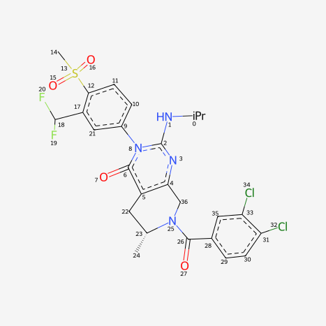 CC(C)Nc1nc2c(c(=O)n1-c1ccc(S(C)(=O)=O)c(C(F)F)c1)C[C@@H](C)N(C(=O)c1ccc(Cl)c(Cl)c1)C2